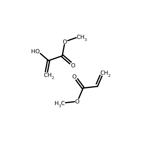 C=C(O)C(=O)OC.C=CC(=O)OC